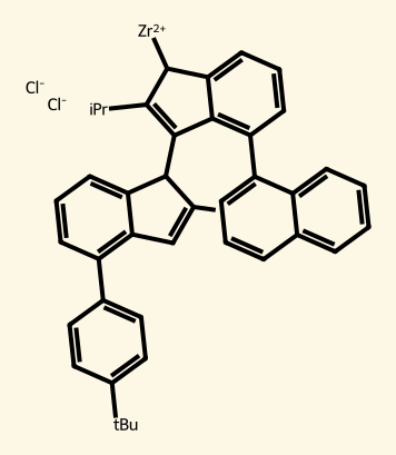 CC1=Cc2c(-c3ccc(C(C)(C)C)cc3)cccc2C1C1=C(C(C)C)[CH]([Zr+2])c2cccc(-c3cccc4ccccc34)c21.[Cl-].[Cl-]